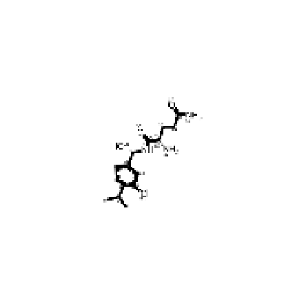 CC(C)c1ccc(CNC(=O)[C@@H](N)CCC(N)=O)cc1Cl.Cl